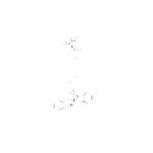 O=C(NCCCCCCCCOOP(=O)(Cc1ccccc1)Cc1ccccc1)C(F)(F)F